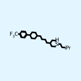 CC(C)CC[SiH]1CCC(CCCCC2CCC(c3ccc(C(F)(F)F)cc3)CC2)CC1